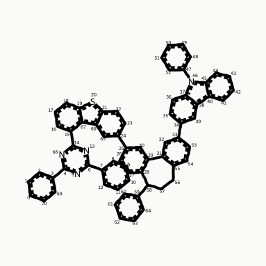 c1ccc(-c2nc(-c3ccccc3)nc(-c3cccc4sc5ccc(-c6ccc7c(c6)-c6cc(-c8ccc9c(c8)c8ccccc8n9-c8ccccc8)ccc6CCC7c6ccccc6)cc5c34)n2)cc1